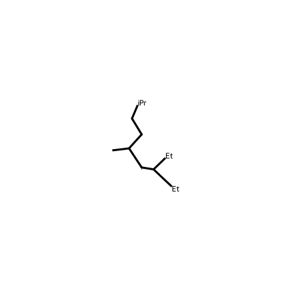 CCC([CH]C(C)CCC(C)C)CC